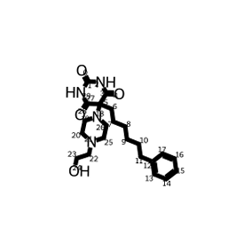 O=C1NC(=O)C(CCCCCCc2ccccc2)(N2CCN(CCO)CC2)C(=O)N1